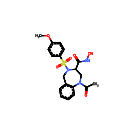 COc1ccc(S(=O)(=O)N2Cc3ccccc3N(C(C)=O)CC2C(=O)NO)cc1